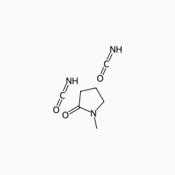 CN1CCCC1=O.N=C=O.N=C=O